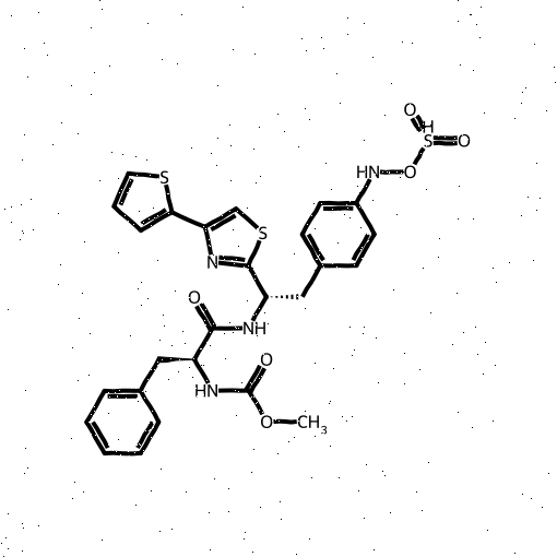 COC(=O)N[C@@H](Cc1ccccc1)C(=O)N[C@@H](Cc1ccc(NO[SH](=O)=O)cc1)c1nc(-c2cccs2)cs1